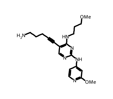 COCCCNc1nc(Nc2ccnc(OC)c2)ncc1C#CCCCN